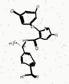 C[C@H](NC(=O)c1cc(Cl)cnc1Oc1cc(Cl)cc(Cl)c1)c1ccc(C(=O)O)cc1